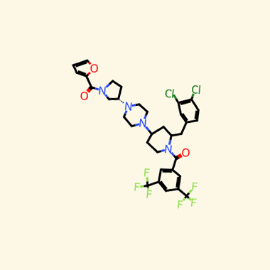 O=C(c1ccco1)N1CC[C@H](N2CCN(C3CCN(C(=O)c4cc(C(F)(F)F)cc(C(F)(F)F)c4)C(Cc4ccc(Cl)c(Cl)c4)C3)CC2)C1